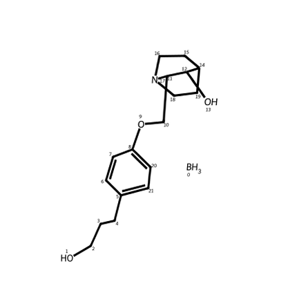 B.OCCCc1ccc(OCC2C(O)C3CCN2CC3)cc1